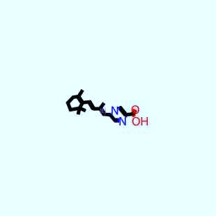 CC1=C(C=C/C(C)=C/c2cnc(C(=O)O)cn2)C(C)(C)CCC1